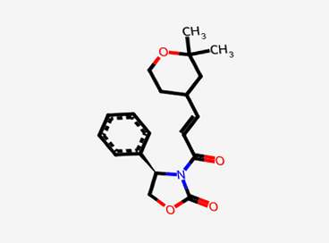 CC1(C)CC(C=CC(=O)N2C(=O)OC[C@H]2c2ccccc2)CCO1